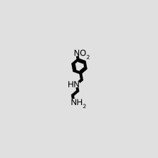 NCCNCc1ccc([N+](=O)[O-])cc1